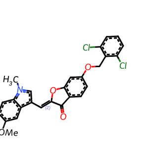 COc1ccc2c(c1)c(/C=C1\Oc3cc(OCc4c(Cl)cccc4Cl)ccc3C1=O)cn2C